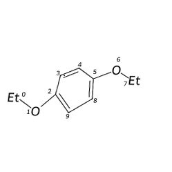 CCOc1[c]cc(OCC)cc1